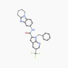 O=C(Nc1ccc2c(c1)nc1n2CCCC1)c1cc2cc(C(F)(F)F)cnc2n1Cc1ccccc1